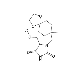 CCOCC1C(=O)NC(=O)N1CC1(C)CCC2(CC1)OCCO2